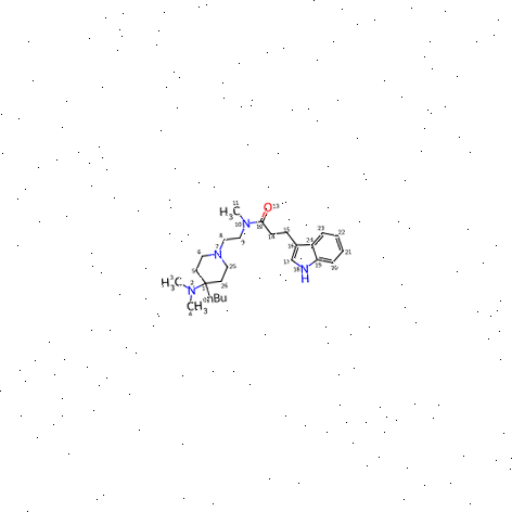 CCCCC1(N(C)C)CCN(CCN(C)C(=O)CCc2c[nH]c3ccccc23)CC1